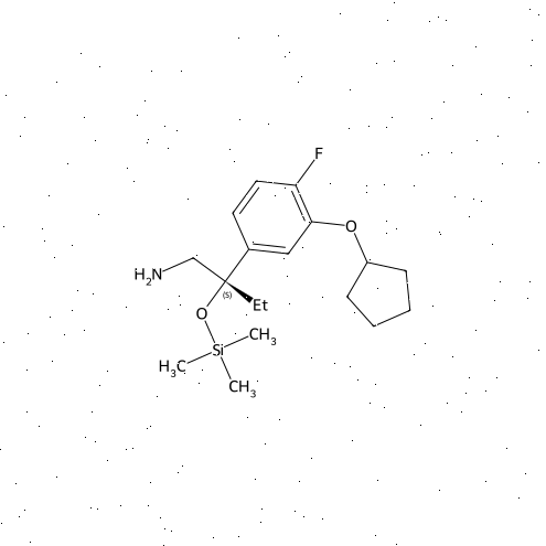 CC[C@](CN)(O[Si](C)(C)C)c1ccc(F)c(OC2CCCC2)c1